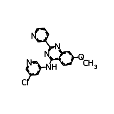 COc1ccc2c(Nc3cncc(Cl)c3)nc(-c3cccnc3)nc2c1